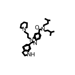 CC(C)CCN(CCC(C)C)C(=O)c1ccc2nc(-c3ccc4c(c3)NCC4)n(CCCN3CCCCC3)c2c1